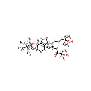 CC(C)(O)CCCC(CCC(=O)C(C)(C)O)[C@H]1CC[C@@H]2[C@@H](O[Si](C)(C)C(C)(C)C)CCC[C@]12C